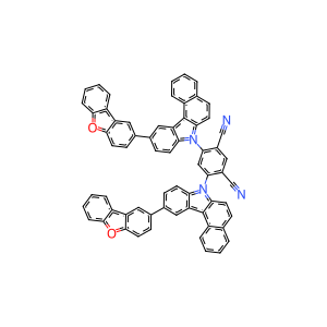 N#Cc1cc(C#N)c(-n2c3ccc(-c4ccc5oc6ccccc6c5c4)cc3c3c4ccccc4ccc32)cc1-n1c2ccc(-c3ccc4oc5ccccc5c4c3)cc2c2c3ccccc3ccc21